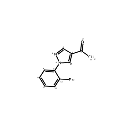 CC(=O)c1cnn(-c2ccccc2F)c1